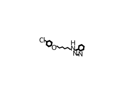 Clc1ccc(OCCCCCCNc2ncnc3ccccc23)cc1